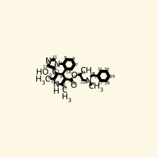 CC1=C(C(=O)O)C(c2ccccc2-n2ccnc2)C(C(=O)OC(C)CN(C)Cc2ccccc2)=C(C)N1